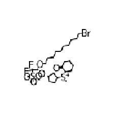 C[S+](C1CCCC1)C1CCCCC1=O.O=C(OCCCCCCCCCCBr)C(F)(F)S(=O)(=O)[O-]